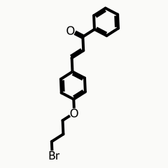 O=C(C=Cc1ccc(OCCCBr)cc1)c1ccccc1